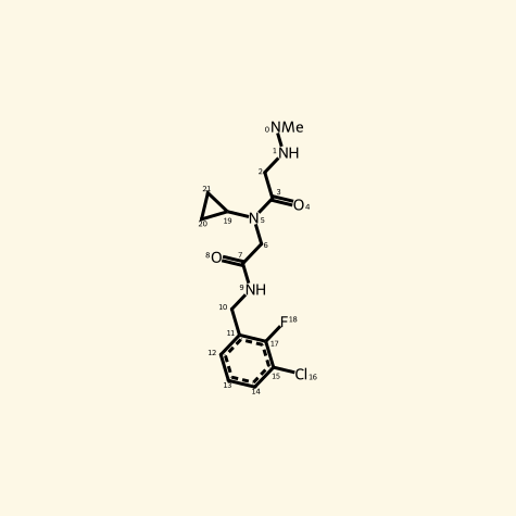 CNNCC(=O)N(CC(=O)NCc1cccc(Cl)c1F)C1CC1